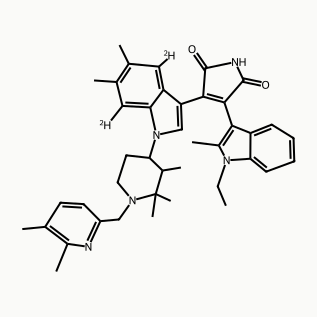 [2H]c1c(C)c(C)c([2H])c2c1c(C1=C(c3c(C)n(CC)c4ccccc34)C(=O)NC1=O)cn2C1CCN(Cc2ccc(C)c(C)n2)C(C)(C)C1C